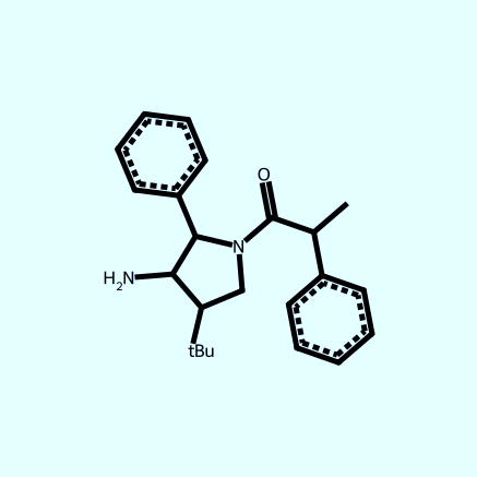 CC(C(=O)N1CC(C(C)(C)C)C(N)C1c1ccccc1)c1ccccc1